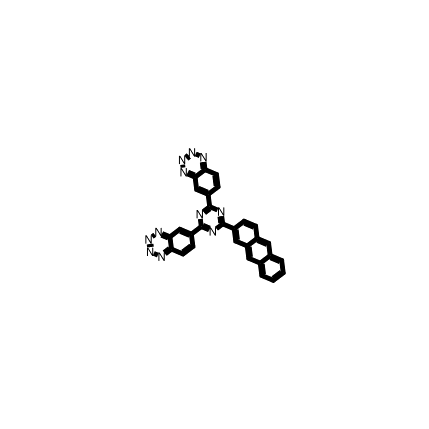 c1ccc2cc3cc(-c4nc(-c5ccc6nnnnc6c5)nc(-c5ccc6nnnnc6c5)n4)ccc3cc2c1